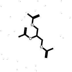 C=C(C)OCC(COC(=C)C)OC(=C)C